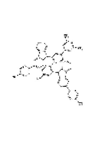 N#Cc1ccc(-c2ccc3c(c2)c2ccccc2n3-c2cc(C#N)ccc2-c2ccc(-c3cc(C(F)(F)F)cc(C(F)(F)F)c3)cc2-n2c3ccccc3c3cc(-c4ccc(C#N)cc4)ccc32)cc1